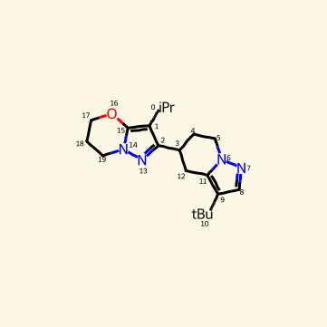 CC(C)c1c(C2CCn3ncc(C(C)(C)C)c3C2)nn2c1OCCC2